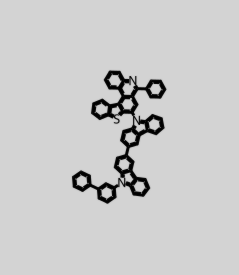 c1ccc(-c2cccc(-n3c4ccccc4c4cc(-c5ccc6c(c5)c5ccccc5n6-c5cc6c(-c7ccccc7)nc7ccccc7c6c6c5sc5ccccc56)ccc43)c2)cc1